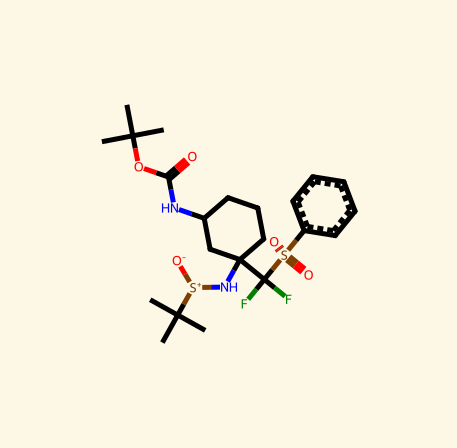 CC(C)(C)OC(=O)NC1CCCC(N[S+]([O-])C(C)(C)C)(C(F)(F)S(=O)(=O)c2ccccc2)C1